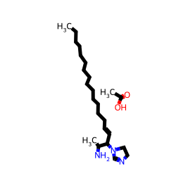 CC(=O)O.CCCCCCCCCCCCCCC=CC(C(C)N)N1C=NCC1